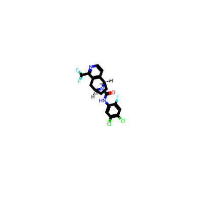 O=C(Nc1cc(Cl)c(Cl)cc1F)N1[C@H]2CC[C@@H]1c1ccnc(C(F)F)c1C2